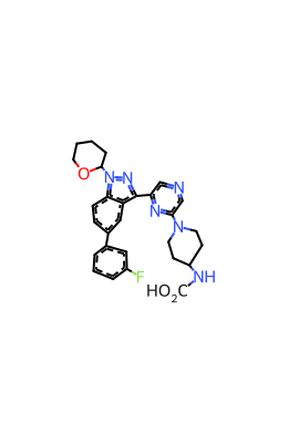 O=C(O)NC1CCN(c2cncc(-c3nn(C4CCCCO4)c4ccc(-c5cccc(F)c5)cc34)n2)CC1